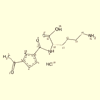 CC(=O)c1ccc(C(=O)N[C@@H](CCCCN)C(=O)O)s1.Cl